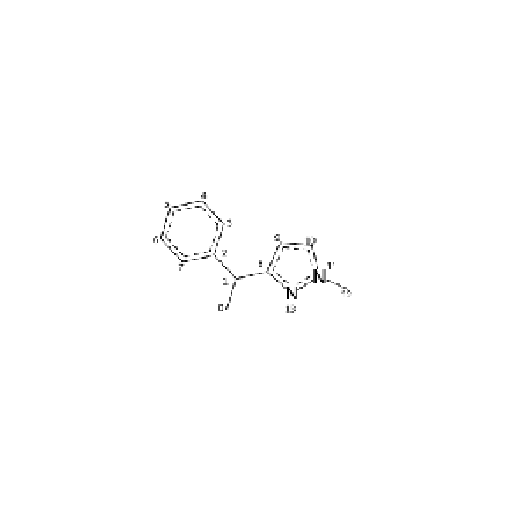 CC(c1ccccc1)c1ccn(C)n1